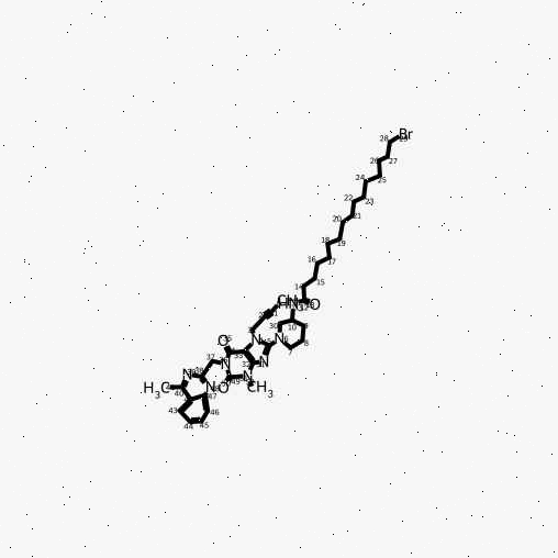 CC#CCn1c(N2CCCC(NC(=O)CCCCCCCCCCCCCCCBr)C2)nc2c1c(=O)n(Cc1nc(C)c3ccccc3n1)c(=O)n2C